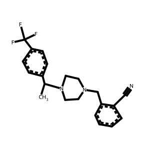 CC(c1ccc(C(F)(F)F)cc1)N1CCN(Cc2ccccc2C#N)CC1